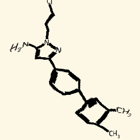 Cc1ccc(-c2ccc(-c3cc(N)n(CCCl)n3)cc2)cc1C